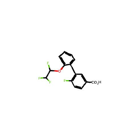 O=C(O)c1ccc(F)c(-c2ccccc2OC(F)C(F)F)c1